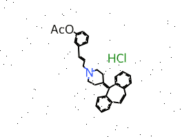 CC(=O)Oc1cccc(/C=C/CN2CCC(=C3c4ccccc4C=Cc4ccccc43)CC2)c1.Cl